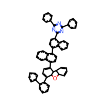 C1=CC2OC3C(c4ccccc4-c4ccccc4)=CC=C(c4ccc(-c5ccc(-c6nc(-c7ccccc7)nc(-c7ccccc7)n6)c6ccccc56)c5ccccc45)C3C2C=C1